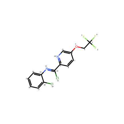 FC(F)(F)COc1ccc(C(Cl)=Nc2ccccc2Cl)nc1